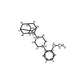 COc1ccccc1N1CCN(C2C3CC4CC(C3)CC2C4)CC1